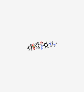 CN(C)C1CCN(c2ccc(NC(=O)c3ccc(S(=O)(=O)c4ccccc4)cc3)cc2)C1